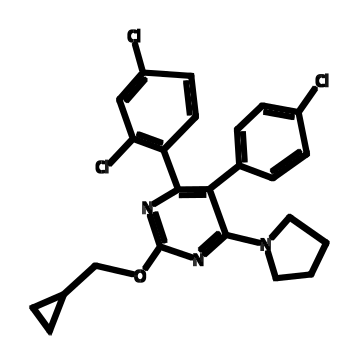 Clc1ccc(-c2c(-c3ccc(Cl)cc3Cl)nc(OCC3CC3)nc2N2CCCC2)cc1